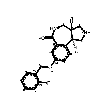 O=C1NC[C@@H]2CNC[C@H]2c2ccc(OCc3ccccc3F)cc21